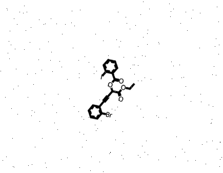 CCOC(=O)C(C#Cc1ccccc1Br)OC(=O)c1ccccc1I